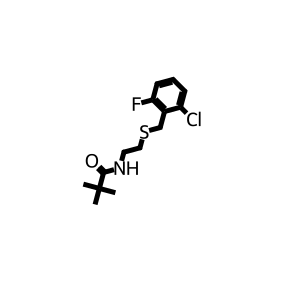 CC(C)(C)C(=O)NCCSCc1c(F)cccc1Cl